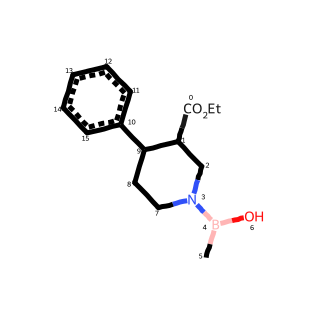 CCOC(=O)C1CN(B(C)O)CCC1c1ccccc1